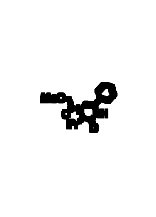 COCC(=O)N1C=C(c2ccccc2)NC(=O)C1C(C)C